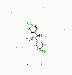 N[C@H](c1ccc(Cl)cc1)[C@@H](N)c1ccc(Cl)cc1